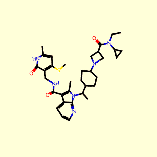 CCN(C(=O)C1CN(C2CCC(C(C)n3c(C)c(C(=O)NCc4c(SC)cc(C)[nH]c4=O)c4cccnc43)CC2)C1)C1CC1